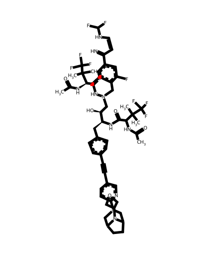 CC(=O)NC(C(=O)N[C@@H](Cc1ccc(C#Cc2ccc(N3CC4CCC(C3)N4C3COC3)nc2)cc1)[C@@H](O)CN(Cc1c(F)cc(C(=N)/C=C\NC(F)F)cc1F)NC(=O)[C@@H](NC(C)=O)C(C)(C)C(F)(F)F)C(C)(C)C(F)(F)F